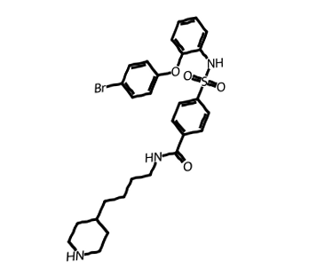 O=C(NCCCCC1CCNCC1)c1ccc(S(=O)(=O)Nc2ccccc2Oc2ccc(Br)cc2)cc1